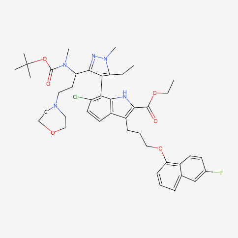 CCOC(=O)c1[nH]c2c(-c3c(C(CCN4CCOCC4)N(C)C(=O)OC(C)(C)C)nn(C)c3CC)c(Cl)ccc2c1CCCOc1cccc2cc(F)ccc12